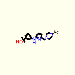 CC(=O)N1CCN(Cc2cccc(Nc3cc[c]c(C(C)(C)O)c3)n2)CC1